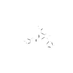 CNC(=O)c1cc(C(=O)Nc2cnn(C)c2)cc2c1OCC2c1ccccc1